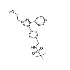 CC(C)(C)S(=O)(=O)NCc1ccc(-c2cn(CCO)nc2-c2ccncc2)cc1